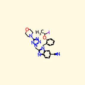 CC(I)Oc1ccccc1Cn1c(Cn2nnc(N3CCOCC3)n2)nc2ccc(C#N)cc21